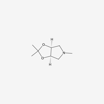 CN1C[C@@H]2OC(C)(C)O[C@@H]2C1